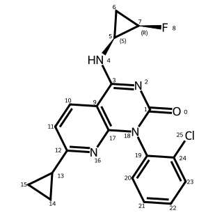 O=c1nc(N[C@H]2C[C@H]2F)c2ccc(C3CC3)nc2n1-c1ccccc1Cl